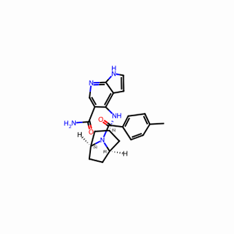 Cc1ccc(C(=O)N2[C@@H]3CC[C@H]2C[C@H](Nc2c(C(N)=O)cnc4[nH]ccc24)C3)cc1